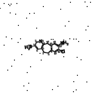 Bc1cnc2c(c1)CCc1cc(Cl)c(N)cc1C2